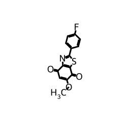 COC1=CC(=O)c2nc(-c3ccc(F)cc3)sc2C1=O